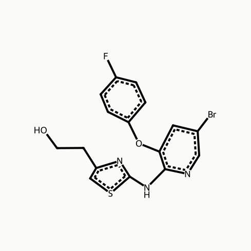 OCCc1csc(Nc2ncc(Br)cc2Oc2ccc(F)cc2)n1